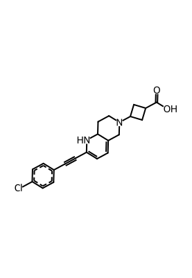 O=C(O)C1CC(N2CCC3NC(C#Cc4ccc(Cl)cc4)=CC=C3C2)C1